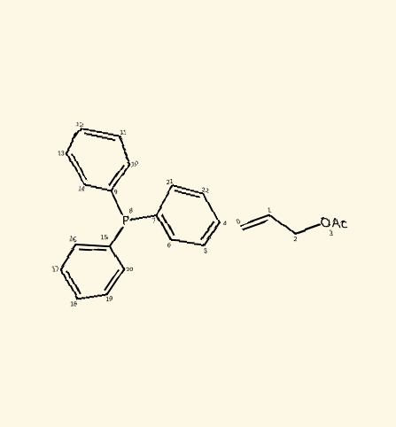 C=CCOC(C)=O.c1ccc(P(c2ccccc2)c2ccccc2)cc1